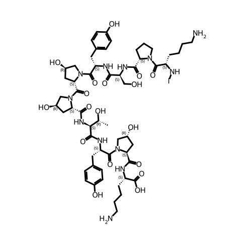 C[C@@H](O)[C@H](NC(=O)[C@@H]1C[C@@H](O)CN1C(=O)[C@@H]1C[C@@H](O)CN1C(=O)[C@H](Cc1ccc(O)cc1)NC(=O)[C@H](CO)NC(=O)[C@@H]1CCCN1C(=O)[C@H](CCCCN)NI)C(=O)N[C@@H](Cc1ccc(O)cc1)C(=O)N1C[C@H](O)C[C@H]1C(=O)N[C@@H](CCCCN)C(=O)O